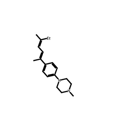 CC/C(C)=C\C=C(/C)c1ccc(N2CCN(C)CC2)cc1